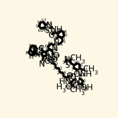 Cc1ncsc1-c1ccc([C@H](C)NC(=O)[C@@H]2C[C@@H](O)CN2C(=O)C(NC(=O)CCCCCCCS(=O)(=O)NC(=O)c2nc(N3CCc4cccc(C(=O)Nc5nc6ccccc6s5)c4C3)ccc2-c2cc(C#N)n(CC34CC5CC(CC(C5)C3)C4)c2C)C(C)(C)C)cc1